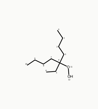 CCCCC(CC)(CCCC)OO